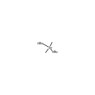 CCC[CH2][Sn]([CH3])([CH3])[CH2]CCC